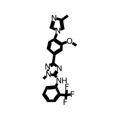 COc1cc(-c2nc(Nc3ccccc3C(F)(F)F)n(C)n2)ccc1-n1cnc(C)c1